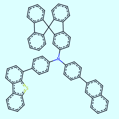 c1ccc2c(c1)-c1ccccc1C21c2ccccc2-c2ccc(N(c3ccc(-c4ccc5ccccc5c4)cc3)c3ccc(-c4cccc5c4sc4ccccc45)cc3)cc21